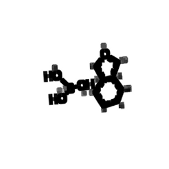 OB(O)O.c1ccc2cocc2c1